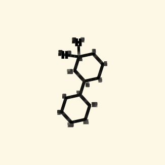 [2H]C1([2H])CCCC(C2CCCCC2)C1